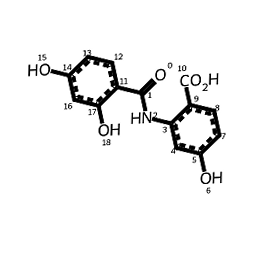 O=C(Nc1cc(O)ccc1C(=O)O)c1ccc(O)cc1O